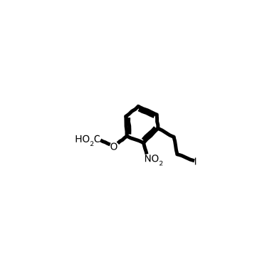 O=C(O)Oc1cccc(CCI)c1[N+](=O)[O-]